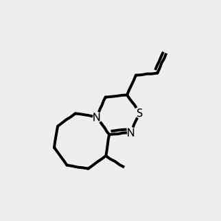 C=CCC1CN2CCCCCC(C)C2=NS1